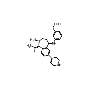 C/C(N)=C1\c2ccc(C3=CCNCC3)cc2C(Nc2cccc(CC=O)c2)CCN1N